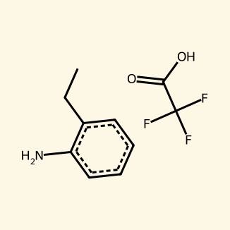 CCc1ccccc1N.O=C(O)C(F)(F)F